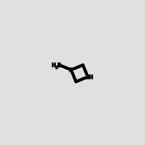 BB1CBC1